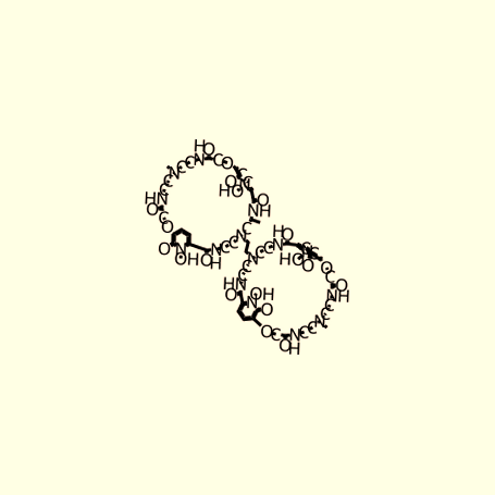 CC1CN(CCN2CCNC(=O)c3ccc(c(=O)n3O)OCC(=O)NCCN(C)CCNC(=O)COc3ccc(n(O)c3=O)C(=O)NCC2)CCNC(=O)c2ccc(c(=O)n2O)OCC(=O)NCCN(C)CCNC(=O)COc2ccc(n(O)c2=O)C(=O)N1